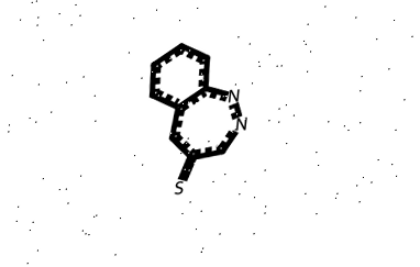 S=c1cnnc2ccccc2c1